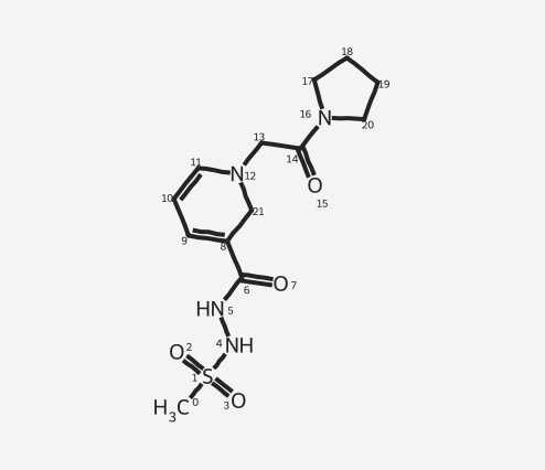 CS(=O)(=O)NNC(=O)C1=CC=CN(CC(=O)N2CCCC2)C1